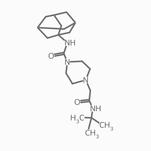 CC(C)(C)NC(=O)CN1CCN(C(=O)NC23CC4CC(CC(C4)C2)C3)CC1